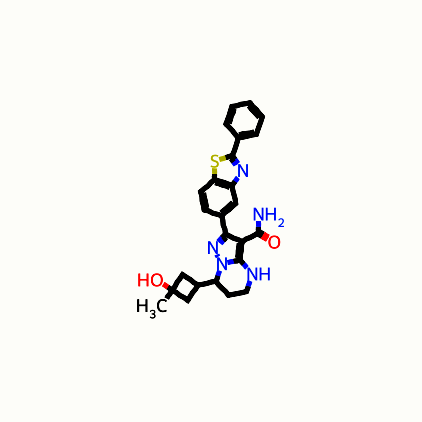 CC1(O)CC(C2CCNc3c(C(N)=O)c(-c4ccc5sc(-c6ccccc6)nc5c4)nn32)C1